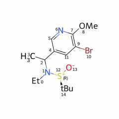 CCN(C(C)c1cnc(OC)c(Br)c1)[S@@+]([O-])C(C)(C)C